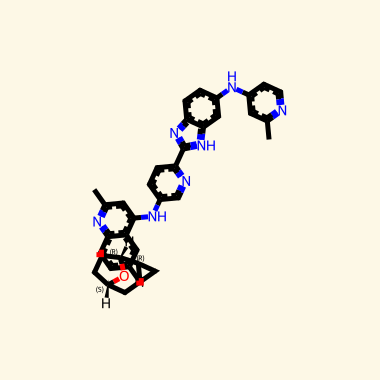 Cc1cc(Nc2ccc3nc(-c4ccc(Nc5cc(C)nc6ccc(C78C[C@@H]9CC[C@@H](O9)[C@@H]7C8)cc56)cn4)[nH]c3c2)ccn1